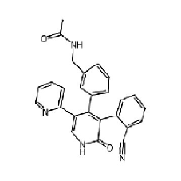 CC(=O)NCc1cccc(-c2c(-c3ccccn3)c[nH]c(=O)c2-c2ccccc2C#N)c1